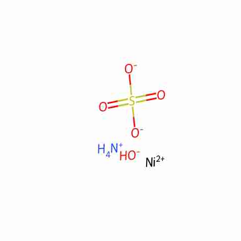 O=S(=O)([O-])[O-].[NH4+].[Ni+2].[OH-]